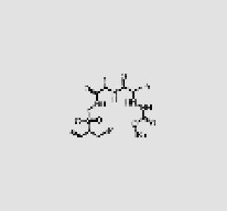 C=CC(CC(C)C)S(=O)(=O)CNC(=O)C(C)NC(=O)C(NNC(=O)OC(C)(C)C)C(C)C